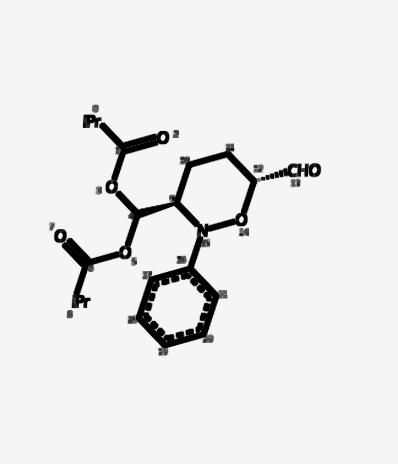 CC(C)C(=O)OC(OC(=O)C(C)C)[C@H]1CC[C@H](C=O)ON1c1ccccc1